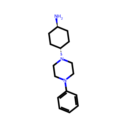 N[C@H]1CC[C@H](N2CCN(c3ccccc3)CC2)CC1